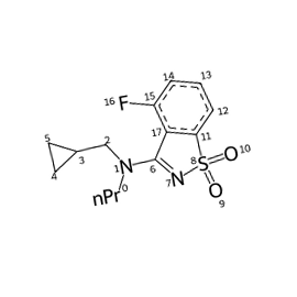 CCCN(CC1CC1)C1=NS(=O)(=O)c2cccc(F)c21